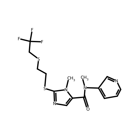 CN(C(=O)c1cnc(SCCSCC(F)(F)F)n1C)c1cccnc1